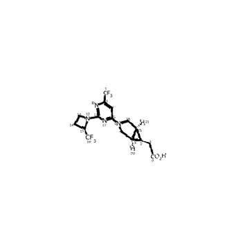 O=C(O)C[C@H]1[C@H]2CN(c3cc(C(F)(F)F)nc(N4CC[C@@H]4C(F)(F)F)n3)C[C@@H]12